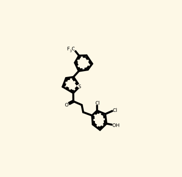 O=C(CCc1ccc(O)c(Cl)c1Cl)c1ccc(-c2cccc(C(F)(F)F)c2)s1